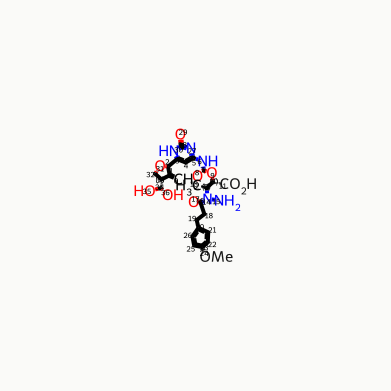 C=C1C(c2cc(NC(=O)O[C@H](C(=O)O)[C@H](C)N(N)C(=O)CCc3ccc(OC)cc3)nc(=O)[nH]2)OC[C@H]1C(O)O